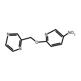 O=[N+]([O-])c1ccc(OCc2cnccn2)nc1